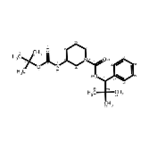 CC(C)(C)OC(=O)NC1CCCN(C(=O)OC(c2ccccc2)C(C)(C)C)C1